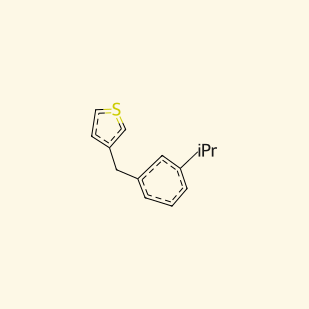 CC(C)c1cccc(Cc2ccsc2)c1